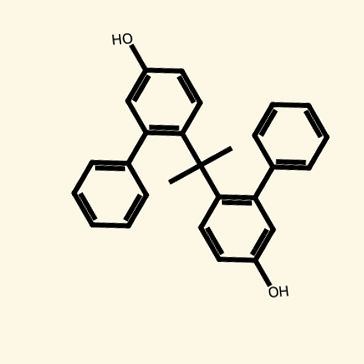 CC(C)(c1ccc(O)cc1-c1ccccc1)c1ccc(O)cc1-c1ccccc1